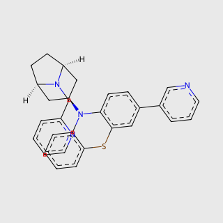 c1ccc(CN2[C@@H]3CC[C@H]2C[C@@H](N2c4ccccc4Sc4cc(-c5cccnc5)ccc42)C3)nc1